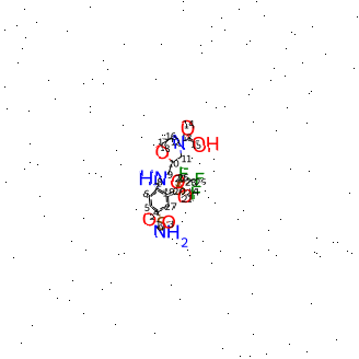 NS(=O)(=O)c1ccc(NCC2CN(C(=O)O)CCO2)c(S(=O)(=O)C(F)(F)F)c1